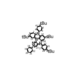 CC(C)(C)c1ccc(N2c3ccc(C(C)(C)C)cc3B3c4nn(-c5ccccc5)cc4N(c4ccc(C(C)(C)C)cc4)c4cc(C(C)(C)C)cc2c43)cc1